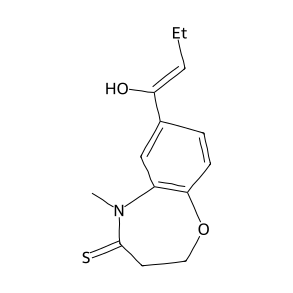 CC/C=C(\O)c1ccc2c(c1)N(C)C(=S)CCO2